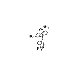 NC(=O)c1cccc2c1c1[c]cc(CO)cc1n2Cc1cccc(C(F)(F)F)c1F